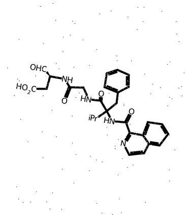 CC(C)C(Cc1ccccc1)(NC(=O)c1nccc2ccccc12)C(=O)NCC(=O)N[C@H](C=O)CC(=O)O